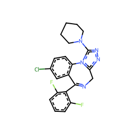 Fc1cccc(F)c1C1=NCc2nnc(N3CCCCC3)n2-c2ccc(Cl)cc21